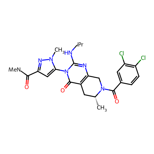 CNC(=O)c1cc(-n2c(NC(C)C)nc3c(c2=O)C[C@@H](C)N(C(=O)c2ccc(Cl)c(Cl)c2)C3)n(C)n1